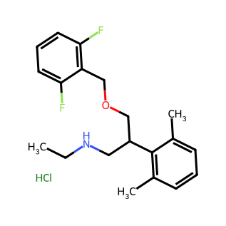 CCNCC(COCc1c(F)cccc1F)c1c(C)cccc1C.Cl